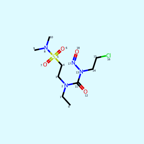 CCN(CCS(=O)(=O)N(C)C)C(=O)N(CCCl)N=O